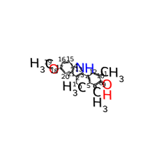 CCc1c(-c2cc(C)c(O)c(C)c2)[nH]c2ccc(OC)cc12